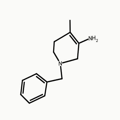 CC1=C(N)CN(Cc2ccccc2)CC1